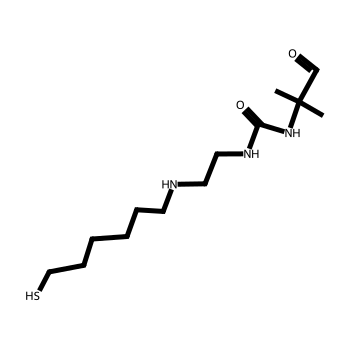 CC(C)(C=O)NC(=O)NCCNCCCCCCS